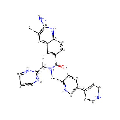 Cc1cc2cc(C(=O)N(Cc3ccc(C4=CCNCC4)cn3)[C@H](C)c3ncccn3)ccc2nc1N